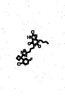 CCCCn1c(=O)n(CCCc2nc(C3(c4cc(F)ccc4Cl)CCC3)no2)c(=O)c2[nH]c(Cl)nc21